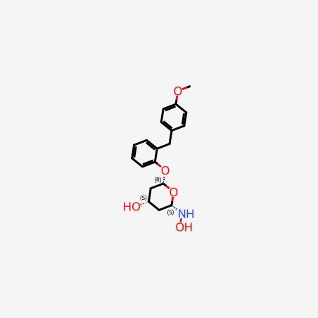 COc1ccc(Cc2ccccc2O[C@H]2C[C@@H](O)C[C@@H](NO)O2)cc1